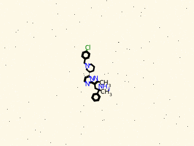 Cc1nn2c([C@H]3CCCN(Cc4ccc(Cl)cc4)C3)ccnc2c1CC(C)(N)c1ccccc1